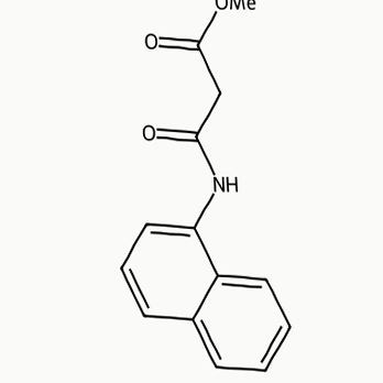 COC(=O)CC(=O)Nc1cccc2ccccc12